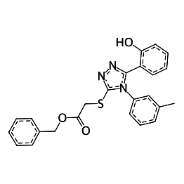 Cc1cccc(-n2c(SCC(=O)OCc3ccccc3)nnc2-c2ccccc2O)c1